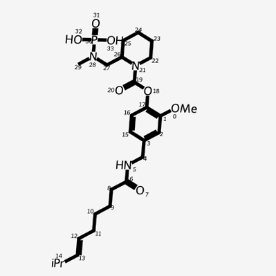 COc1cc(CNC(=O)CCCC/C=C/C(C)C)ccc1OC(=O)N1CCCCC1CN(C)P(=O)(O)O